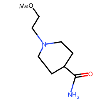 COCCN1CCC(C(N)=O)CC1